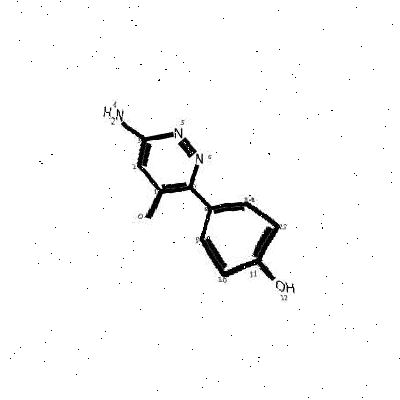 Cc1cc(N)nnc1-c1ccc(O)cc1